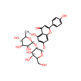 CC1O[C@@H](O[C@H]2C(O)[C@H](O)C(CO)O[C@H]2Oc2cc(O)c3c(=O)cc(-c4ccc(O)cc4)oc3c2)[C@@H](O)C(O)[C@@H]1O